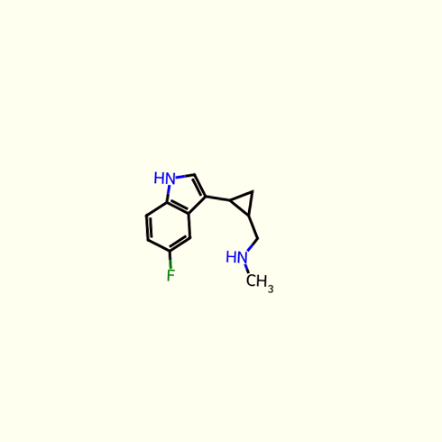 CNCC1CC1c1c[nH]c2ccc(F)cc12